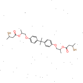 CC(S)CC(=O)OC(C)COc1ccc(C(C)(C)c2ccc(OCC(C)OC(=O)CC(C)S)cc2)cc1